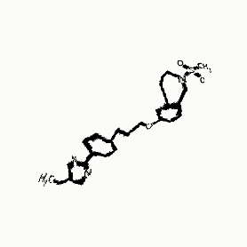 CCc1cnc(-c2ccc(CCCOc3ccc4c(c3)CCN(S(C)(=O)=O)C4)cc2)nc1